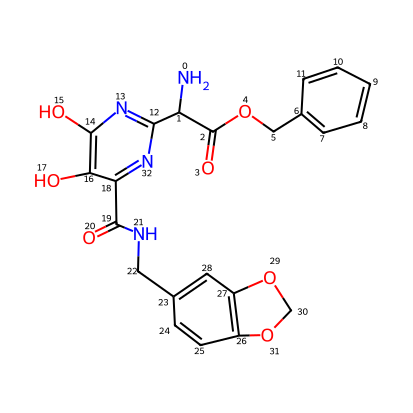 NC(C(=O)OCc1ccccc1)c1nc(O)c(O)c(C(=O)NCc2ccc3c(c2)OCO3)n1